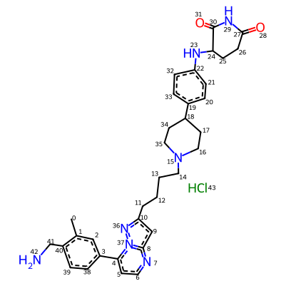 Cc1cc(-c2ccnc3cc(CCCCN4CCC(c5ccc(NC6CCC(=O)NC6=O)cc5)CC4)nn23)ccc1CN.Cl